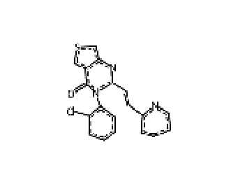 O=c1c2cscc2nc(C=Cc2ccccn2)n1-c1ccccc1Cl